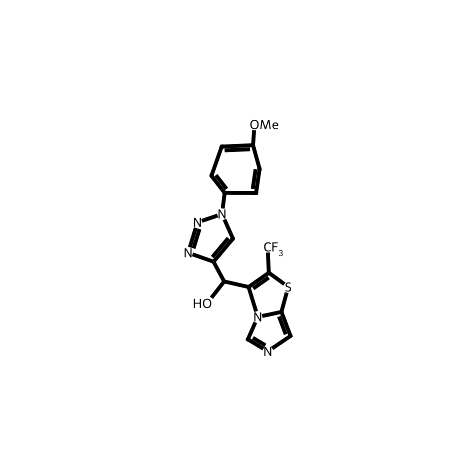 COc1ccc(-n2cc(C(O)c3c(C(F)(F)F)sc4cncn34)nn2)cc1